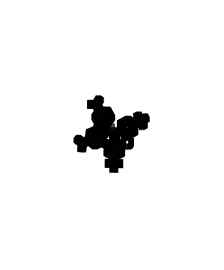 CC(C)c1ccc2c(c1)c1cc(C(C)C)cc3c1n2B1c2ccc(C(C)(C)C)cc2Oc2cc(C(C)(C)C)cc-3c21